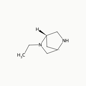 CCN1C[C]2C[C@H]1CN2